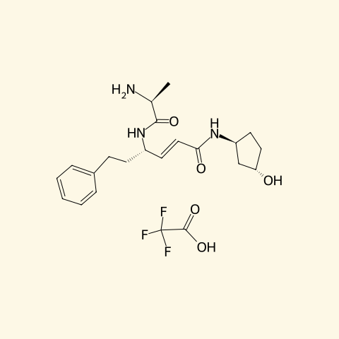 C[C@H](N)C(=O)N[C@H](C=CC(=O)N[C@H]1CC[C@H](O)C1)CCc1ccccc1.O=C(O)C(F)(F)F